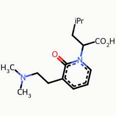 CC(C)CC(C(=O)O)n1cccc(CCN(C)C)c1=O